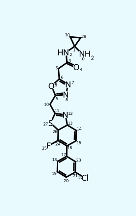 NC1(NC(=O)Cc2nnc(CC3=NC4C=CC(c5cccc(Cl)c5)=C(F)C4S3)o2)CC1